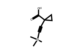 C[Si](C)(C)C#CC1(C(=O)O)CC1